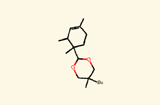 CCC(C)C1(C)COC(C2(C)CCC(C)=CC2C)OC1